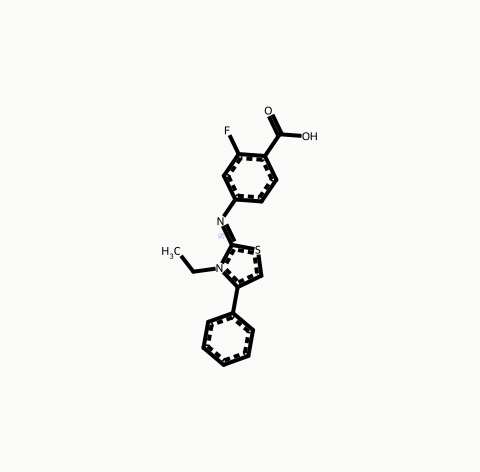 CCn1c(-c2ccccc2)cs/c1=N\c1ccc(C(=O)O)c(F)c1